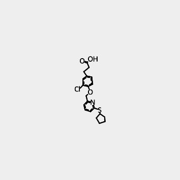 O=C(O)CCc1ccc(OCc2cccc(SC3CCCC3)n2)c(Cl)c1